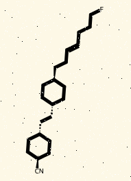 N#C[C@H]1CC[C@H](CC[C@H]2CC[C@H](CCC=CCCCF)CC2)CC1